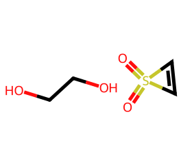 O=S1(=O)C=C1.OCCO